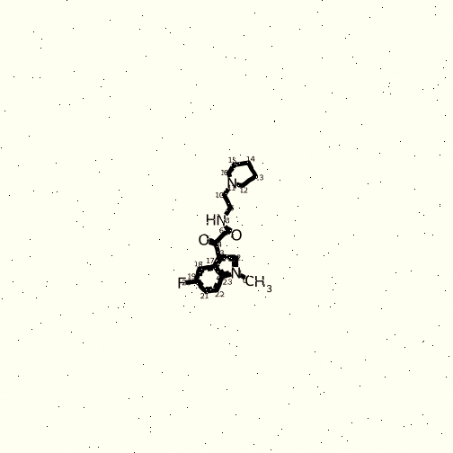 Cn1cc(C(=O)C(=O)NCCN2CCCCC2)c2cc(F)ccc21